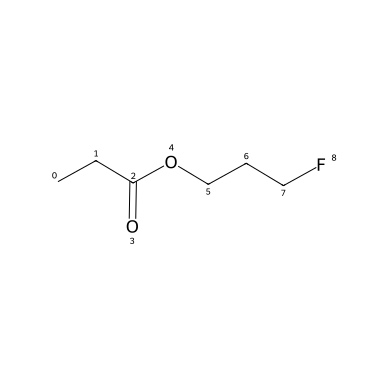 CCC(=O)OCCCF